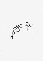 CO/C1=C(N2CCCC(CCC(=O)NC3CCCCC3)CC2)/C=C\CCc2c1cccc2-c1ccc(C#N)cc1